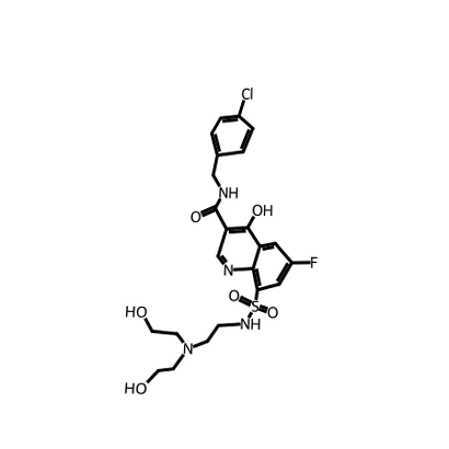 O=C(NCc1ccc(Cl)cc1)c1cnc2c(S(=O)(=O)NCCN(CCO)CCO)cc(F)cc2c1O